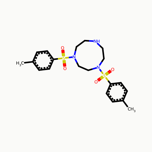 Cc1ccc(S(=O)(=O)N2CCNCCN(S(=O)(=O)c3ccc(C)cc3)CC2)cc1